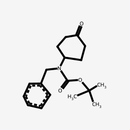 CC(C)(C)OC(=O)N(Cc1ccccc1)C1CCC(=O)CC1